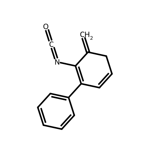 C=C1CC=CC(c2ccccc2)=C1N=C=O